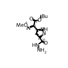 CON=C(C(=O)OC(C)(C)C)c1cc(C(=O)NN)n[nH]1